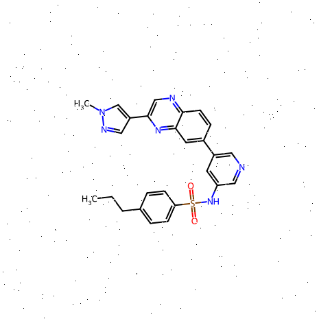 CCCc1ccc(S(=O)(=O)Nc2cncc(-c3ccc4ncc(-c5cnn(C)c5)nc4c3)c2)cc1